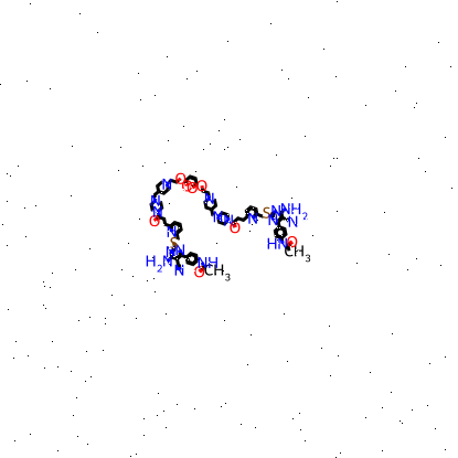 CC(=O)Nc1ccc(-c2nc(SCc3cccc(CCC(=O)N4CCN(CC5CCN(CCOC(=O)/C=C\C(=O)OCCN6CCC(CN7CCN(C(=O)CCc8cccc(CSc9nc(N)c(C#N)c(-c%10ccc(NC(C)=O)cc%10)n9)n8)CC7)CC6)CC5)CC4)n3)nc(N)c2C#N)cc1